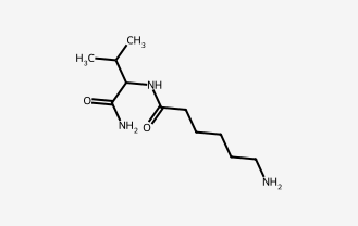 CC(C)C(NC(=O)CCCCCN)C(N)=O